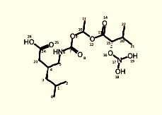 CC(C)C[C@H](CNC(=O)OC(C)OC(=O)[C@@H](ON(O)O)C(C)C)CC(=O)O